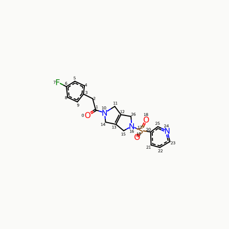 O=C(Cc1ccc(F)cc1)N1CC2=C(C1)CN(S(=O)(=O)c1cccnc1)C2